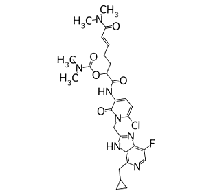 CN(C)C(=O)C=CCCC(OC(=O)N(C)C)C(=O)Nc1ccc(Cl)n(Cc2nc3c(F)cnc(CC4CC4)c3[nH]2)c1=O